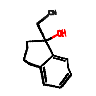 N#CCC1(O)CCc2ccccc21